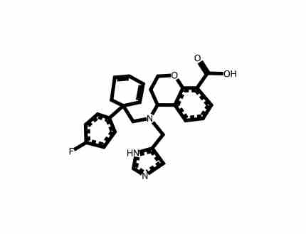 O=C(O)c1cccc2c1OCCC2N(Cc1cnc[nH]1)CC1(c2ccc(F)cc2)C=CC=CC1